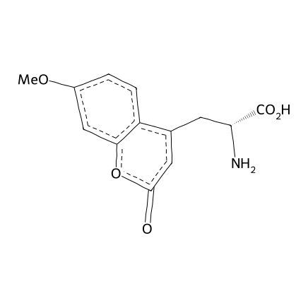 COc1ccc2c(C[C@@H](N)C(=O)O)cc(=O)oc2c1